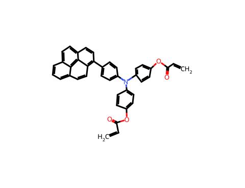 C=CC(=O)Oc1ccc(N(c2ccc(OC(=O)C=C)cc2)c2ccc(-c3ccc4ccc5cccc6ccc3c4c56)cc2)cc1